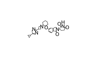 O=C1CCC(N2Cc3cc(O[C@H]4CCCC[C@H]4N4CC(c5ncc(C6CC6)cn5)C4)ccc3C2=O)C(=O)N1